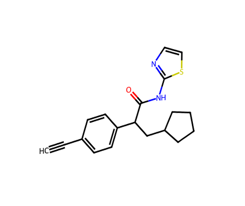 C#Cc1ccc(C(CC2CCCC2)C(=O)Nc2nccs2)cc1